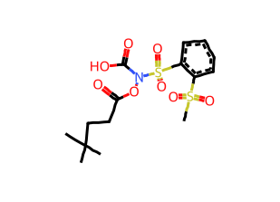 CC(C)(C)CCC(=O)ON(C(=O)O)S(=O)(=O)c1ccccc1S(C)(=O)=O